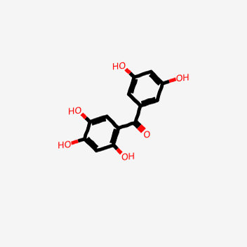 O=C(c1cc(O)cc(O)c1)c1cc(O)c(O)cc1O